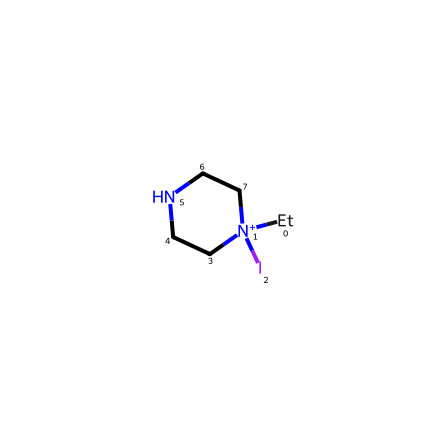 CC[N+]1(I)CCNCC1